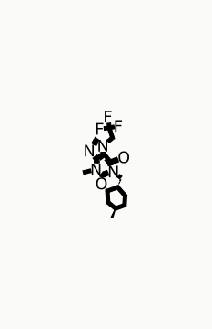 Cn1c(=O)n(C[C@H]2CC[C@H](C)CC2)c(=O)c2c1ncn2CC(F)(F)F